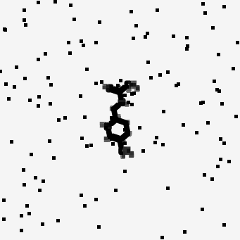 CC(=O)OCC1CCC(C)=CO1